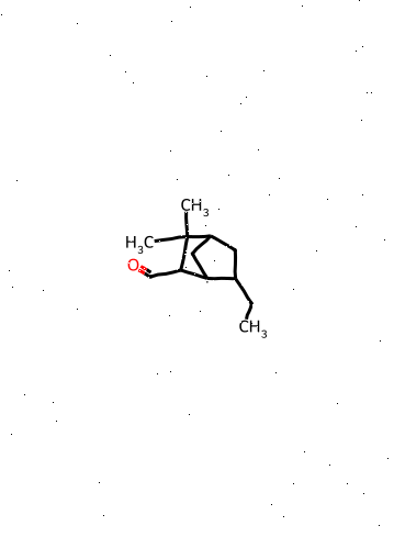 CCC1CC2C[C]1C(C=O)C2(C)C